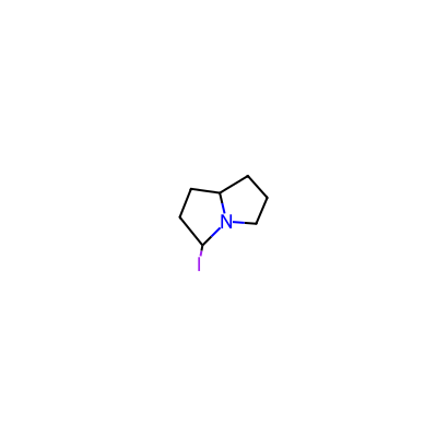 IC1CCC2CCCN12